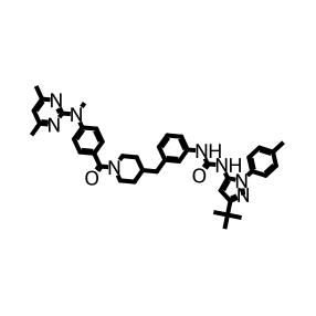 Cc1ccc(-n2nc(C(C)(C)C)cc2NC(=O)Nc2cccc(CC3CCN(C(=O)c4ccc(N(C)c5nc(C)cc(C)n5)cc4)CC3)c2)cc1